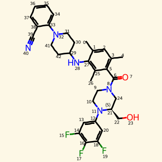 Cc1cc(C)c(C(=O)N2CCN(c3cc(F)c(F)c(F)c3)[C@H](CO)C2)c(C)c1NC1CCN(c2ccccc2C#N)CC1